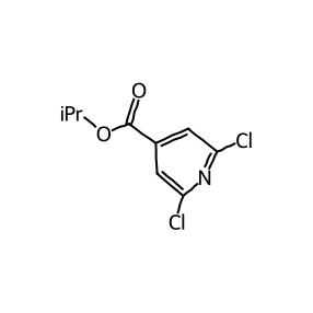 CC(C)OC(=O)c1cc(Cl)nc(Cl)c1